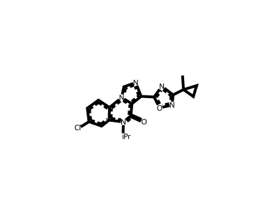 CC(C)n1c(=O)c2c(-c3nc(C4(C)CC4)no3)ncn2c2ccc(Cl)cc21